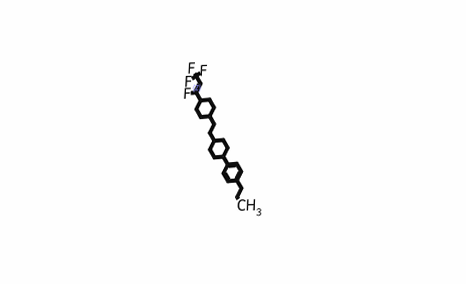 CCCc1ccc(C2CCC(CCC3CCC(/C(F)=C/C(F)(F)F)CC3)CC2)cc1